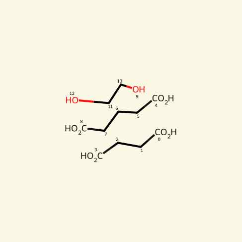 O=C(O)CCC(=O)O.O=C(O)CCCC(=O)O.OCCO